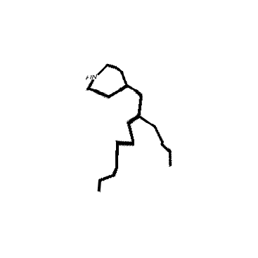 CCCCCCC(CCCC)CC1CCNCC1